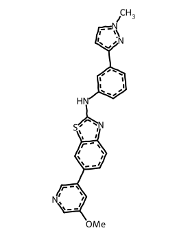 COc1cncc(-c2ccc3nc(Nc4cccc(-c5ccn(C)n5)c4)sc3c2)c1